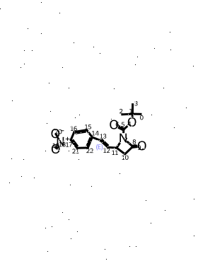 CC(C)(C)OC(=O)N1C(=O)CC1/C=C/c1ccc([N+](=O)[O-])cc1